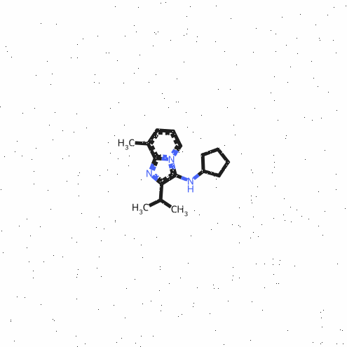 Cc1cccn2c(NC3CCCC3)c(C(C)C)nc12